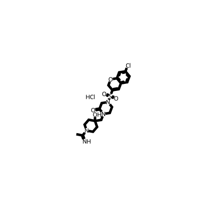 CC(=N)N1CCC(O)(CN2CCN(S(=O)(=O)C3=Cc4ccc(Cl)cc4OC3)CC2=O)CC1.Cl